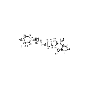 COc1cscc1C(=O)N1CC2CN(CCCNc3ccc(C)c(Cl)c3)CC2C1